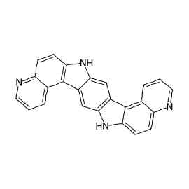 c1cnc2ccc3[nH]c4cc5c(cc4c3c2c1)[nH]c1ccc2ncccc2c15